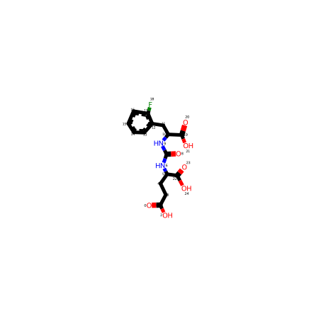 O=C(O)CCC(NC(=O)NC(Cc1ccccc1F)C(=O)O)C(=O)O